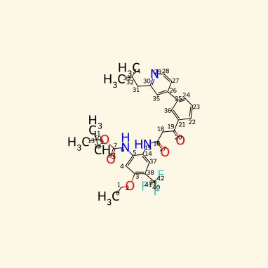 CCOc1cc(NC(=O)OC(C)(C)C)c(NC(=O)CC(=O)c2cccc(-c3ccnc(CC(C)C)c3)c2)cc1C(F)(F)F